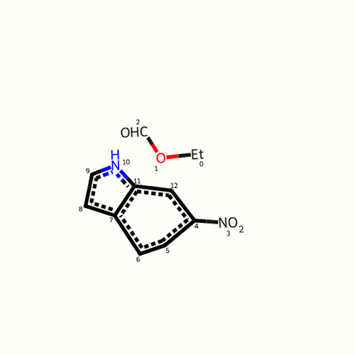 CCOC=O.O=[N+]([O-])c1ccc2cc[nH]c2c1